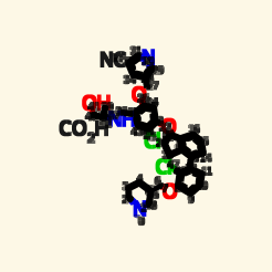 CN1CCC[C@@H](COc2cccc(-c3cccc4c3CC[C@@H]4Oc3cc(OCc4cncc(C#N)c4)c(CNC(C)(CO)C(=O)O)cc3Cl)c2Cl)C1